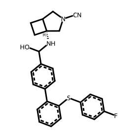 N#CN1CC2CC[C@]2(NC(O)c2ccc(-c3ccccc3Sc3ccc(F)cc3)cc2)C1